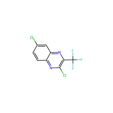 FC(F)(F)c1nc2cc(Cl)ccc2nc1Cl